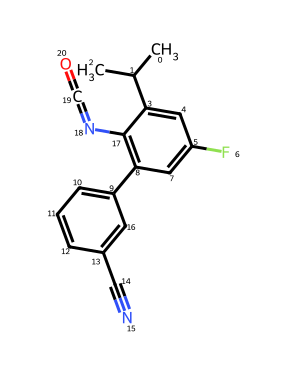 CC(C)c1cc(F)cc(-c2cccc(C#N)c2)c1N=C=O